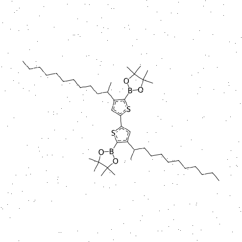 CCCCCCCCCCC(C)c1cc(-c2cc(C(C)CCCCCCCCCC)c(B3OC(C)(C)C(C)(C)O3)s2)sc1B1OC(C)(C)C(C)(C)O1